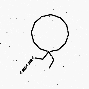 CCC1(CN=[N+]=[N-])CCCCCCCCCCC1